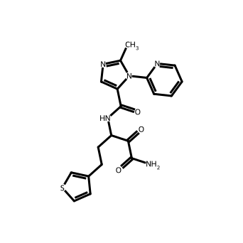 Cc1ncc(C(=O)NC(CCc2ccsc2)C(=O)C(N)=O)n1-c1ccccn1